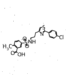 Cc1ccc(S(=O)(=O)NCCCc2csc(-c3ccc(Cl)cc3)n2)cc1C(=O)O